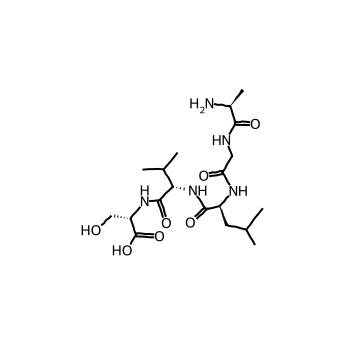 CC(C)C[C@H](NC(=O)CNC(=O)[C@H](C)N)C(=O)N[C@H](C(=O)N[C@@H](CO)C(=O)O)C(C)C